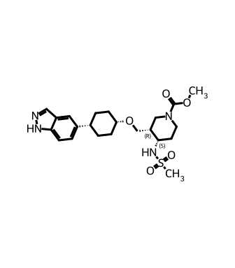 COC(=O)N1CC[C@H](NS(C)(=O)=O)[C@H](CO[C@H]2CC[C@@H](c3ccc4[nH]ncc4c3)CC2)C1